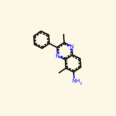 Cc1nc2ccc(N)c(C)c2nc1-c1ccccc1